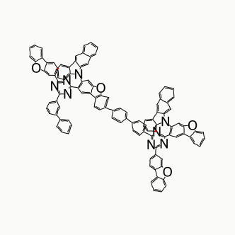 c1ccc(-c2cccc(-c3nc(-c4ccc5c(c4)oc4ccccc45)nc(-c4cc5c(cc4-n4c6ccccc6c6cc7ccccc7cc64)oc4cc(-c6ccc(-c7ccc(-c8nc(-c9ccc%10c(c9)oc9ccccc9%10)nc(-c9cc%10c(cc9-n9c%11ccccc%11c%11cc%12ccccc%12cc%119)oc9ccccc9%10)n8)cc7)cc6)ccc45)n3)c2)cc1